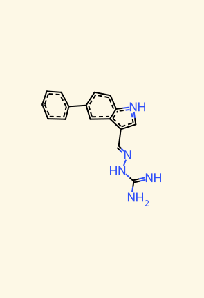 N=C(N)NN=Cc1c[nH]c2ccc(-c3ccccc3)cc12